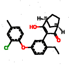 CCc1ccc(Oc2ccc(C)cc2Cl)cc1C1=C(O)[C@H]2CC[C@H](C2)C1=O